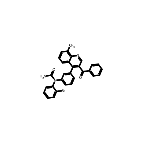 NC(=O)N(c1cccc(-c2c(C(=O)c3ccccc3)cnc3c(C(F)(F)F)cccc23)c1)c1ccccc1Br